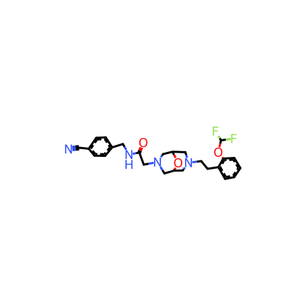 N#Cc1ccc(CNC(=O)CN2CC3CN(CCc4ccccc4OC(F)F)CC(C2)O3)cc1